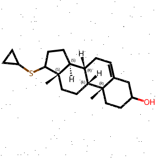 C[C@]12CCC(O)CC1=CC[C@@H]1[C@H]2CC[C@]2(C)C(SC3CC3)CC[C@@H]12